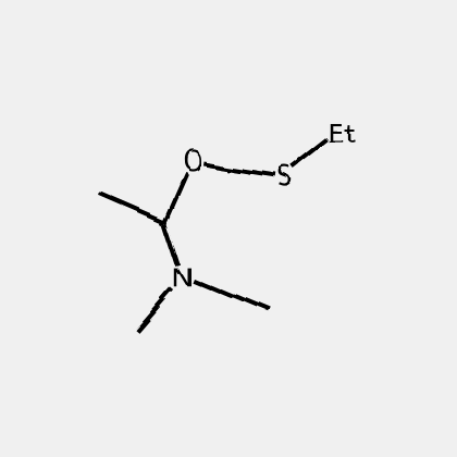 CCSOC(C)N(C)C